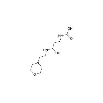 O=C(O)NCCC(O)NCCN1CCOCC1